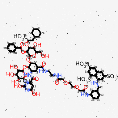 CC1OC(OC2C(NC(=O)c3cc(O)nc(O)n3)CC(C(=O)NCCNC(=O)COCCOCC(=O)Nc3cccc(CNc4cc(S(=O)(=O)O)cc5cc(S(=O)(=O)O)cc(S(=O)(=O)O)c45)c3)CC2OC2OC(CO)C(O)C(O[C@@H](CC3CCCCC3)C(=O)O)C2OC(=O)c2ccccc2)C(O)C(O)C1O